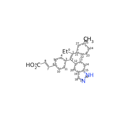 CCC(=C(c1ccc(C=CC(=O)O)cc1)c1ccc2[nH]ncc2c1)c1cccc(C)c1